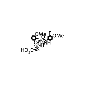 COc1ccc([C@H]2NC(=O)N([C@@H](Cc3ccccc3OC)C(=O)Nc3nc(C(=O)O)cs3)C2=O)cc1F